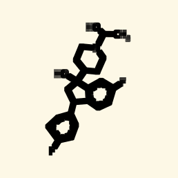 CC(O)N1CCC(C2(O)CC(c3ccc(F)cc3)c3ccc(F)cc32)CC1